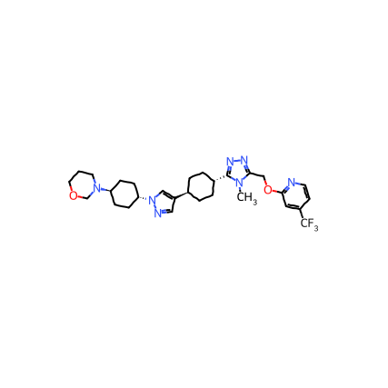 Cn1c(COc2cc(C(F)(F)F)ccn2)nnc1[C@H]1CC[C@H](c2cnn([C@H]3CC[C@H](N4CCCOC4)CC3)c2)CC1